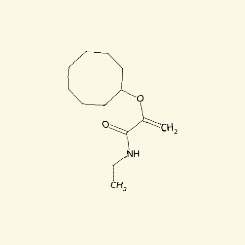 C=C(OC1CCCCCCC1)C(=O)NCC